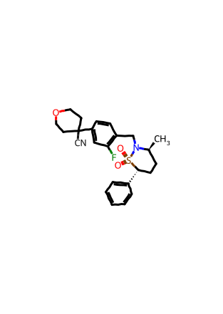 C[C@H]1CC[C@H](c2ccccc2)S(=O)(=O)N1Cc1ccc(C2(C#N)CCOCC2)cc1F